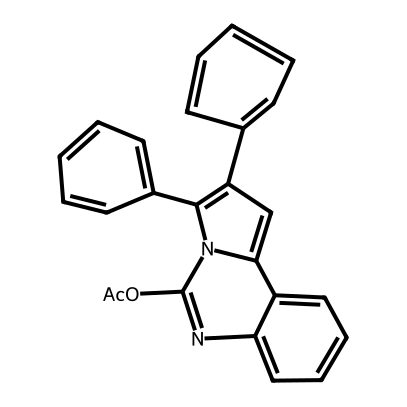 CC(=O)Oc1nc2ccccc2c2cc(-c3ccccc3)c(-c3ccccc3)n12